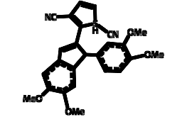 COc1ccc(C2C(C3=C(C#N)C=C[SH]3C#N)=Cc3cc(OC)c(OC)cc32)cc1OC